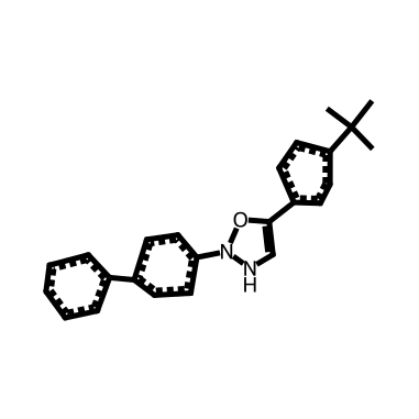 CC(C)(C)c1ccc(C2=CNN(c3ccc(-c4ccccc4)cc3)O2)cc1